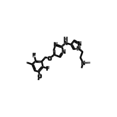 COc1cc(C)c(F)c(COc2cnc(Nc3cnn(CCN(C)C)c3)nc2)c1F